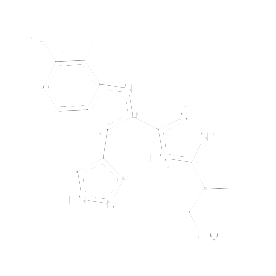 COCC(F)c1nnc(-c2[nH]c3c(Cl)c(Cl)ccc3c2-c2cn[nH]c2)[nH]1